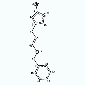 Brc1cc(CC=NOCc2ccccc2)cs1